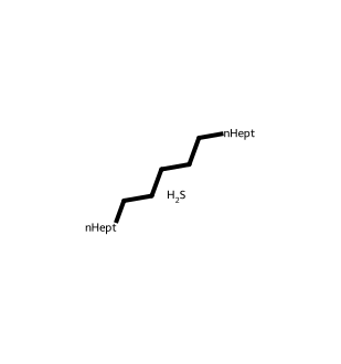 CCCCCCCCCCCCCCCCCCC.S